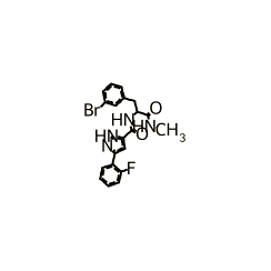 CNC(=O)C(Cc1cccc(Br)c1)NC(=O)c1cc(-c2ccccc2F)n[nH]1